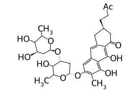 CC(=O)CC[C@H]1CC(=O)c2c(cc3cc(O[C@H]4C[C@@H](O[C@H]5C[C@@H](O)C(O)C(C)O5)C(O)C(C)O4)c(C)c(O)c3c2O)C1